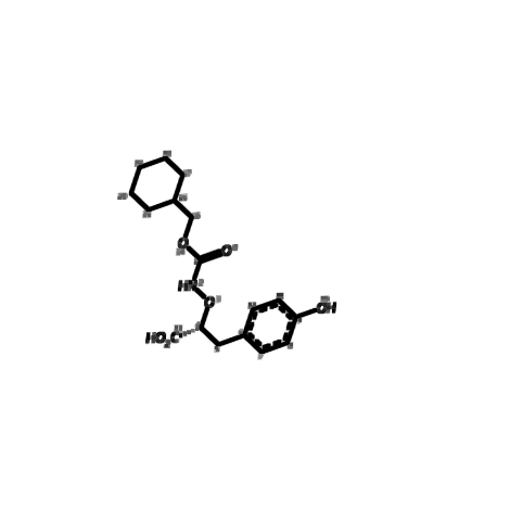 O=C(NO[C@H](Cc1ccc(O)cc1)C(=O)O)OCC1CCCCC1